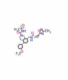 Cc1noc([C@H]2C[C@@H]2C(=O)NCc2ccc(-c3cccc(OC(F)(F)F)c3)c3c2CN(C(=O)NC2(C)COC2)CC3)n1